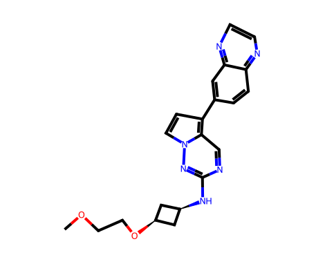 COCCO[C@H]1C[C@@H](Nc2ncc3c(-c4ccc5nccnc5c4)ccn3n2)C1